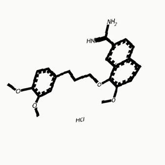 COc1ccc(CCCOc2c(OC)ccc3ccc(C(=N)N)cc23)cc1OC.Cl